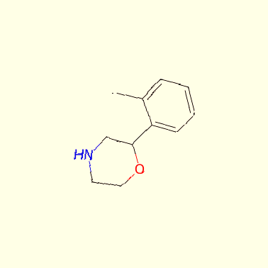 [CH2]c1ccccc1C1CNCCO1